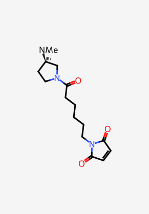 CN[C@@H]1CCN(C(=O)CCCCCN2C(=O)C=CC2=O)C1